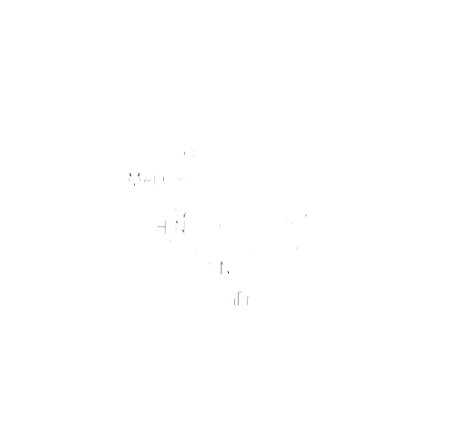 CCCn1c(C)c(C[C@@H](N)C(=O)OC)c2c1C=CC(C)(C)C2